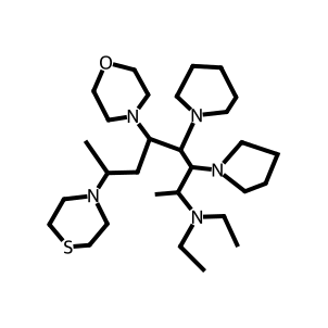 CCN(CC)C(C)C(C(C(CC(C)N1CCSCC1)N1CCOCC1)N1CCCCC1)N1CCCC1